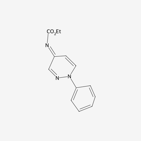 CCOC(=O)N=c1ccn(-c2ccccc2)nc1